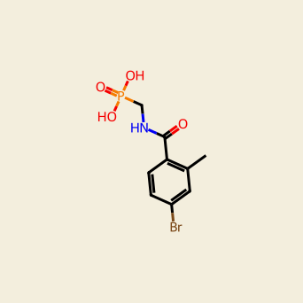 Cc1cc(Br)ccc1C(=O)NCP(=O)(O)O